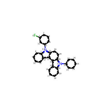 Fc1cccc(-n2c3ccccc3c3c4c5ccccc5n(-c5ccccc5)c4ccc32)c1